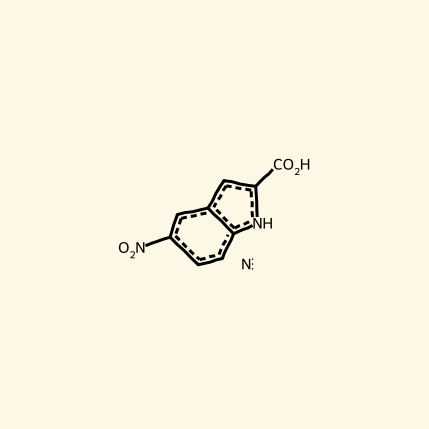 O=C(O)c1cc2cc([N+](=O)[O-])ccc2[nH]1.[N]